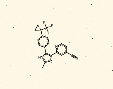 Cc1nc(-c2cc(C#N)ccn2)c(-c2ccc(C3(C(F)(F)F)CC3)cc2)[nH]1